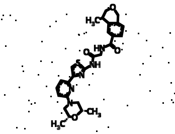 CC1COCc2ccc(C(=O)NCC(=O)Nc3nc(-c4cccc(N5C[C@@H](C)O[C@@H](C)C5)n4)cs3)cc21